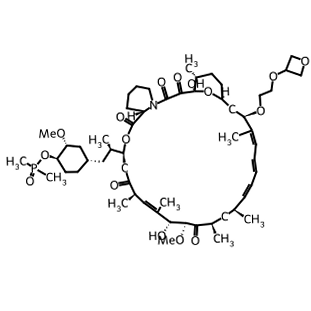 CO[C@@H]1C[C@H](C[C@@H](C)[C@@H]2CC(=O)[C@H](C)/C=C(\C)[C@@H](O)[C@@H](OC)C(=O)[C@H](C)C[C@H](C)/C=C/C=C/C=C(\C)[C@H](OCCOC3COC3)C[C@@H]3CC[C@@H](C)[C@@](O)(O3)C(=O)C(=O)N3CCCC[C@H]3C(=O)O2)CC[C@H]1OP(C)(C)=O